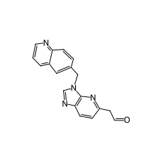 O=CCc1ccc2ncn(Cc3ccc4ncccc4c3)c2n1